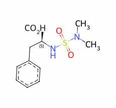 CN(C)S(=O)(=O)N[C@@H](Cc1ccccc1)C(=O)O